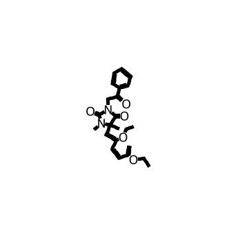 C=C(/C=C\C(=C\C1(C)C(=O)N(CC(=O)c2ccccc2)C(=O)N1C)OCC)OCC